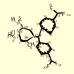 C[C@@H]1CN[C@@H](C)CN1C(c1ccc(C(F)F)cc1)c1ccc(C(F)F)cc1.Cl